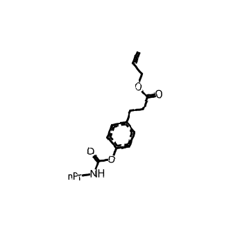 C=CCOC(=O)CCc1ccc(OC(=O)NCCC)cc1